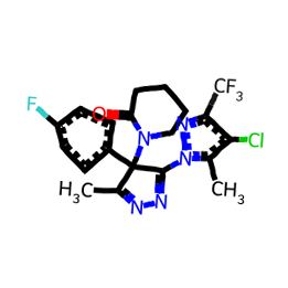 CC1=NN=C(n2nc(C(F)(F)F)c(Cl)c2C)C1(c1ccc(F)cc1)N1CCCCC1=O